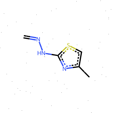 C=NNc1nc(C)cs1